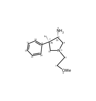 COCCN1C[C@@H](N)[C@](C)(c2ccccc2)C1